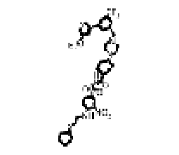 CCOc1cncc(-c2cc(CN3CCN(c4ccc(C(=O)NS(=O)(=O)c5ccc(NCCSc6ccccc6)c([N+](=O)[O-])c5)cc4)CC3)cc(C(F)(F)F)c2)c1